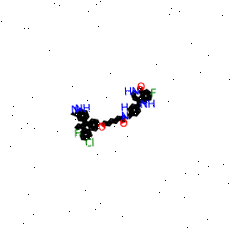 CC/C(=C(/c1ccc(OCCCCCC(=O)NCc2ccc(-c3[nH]c4cc(F)cc5c4c3CCNC5=O)cc2)cc1)c1ccc2[nH]ncc2c1)c1ccc(Cl)cc1F